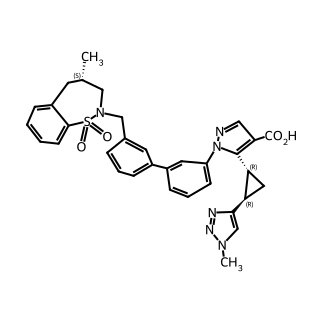 C[C@H]1Cc2ccccc2S(=O)(=O)N(Cc2cccc(-c3cccc(-n4ncc(C(=O)O)c4[C@@H]4C[C@H]4c4cn(C)nn4)c3)c2)C1